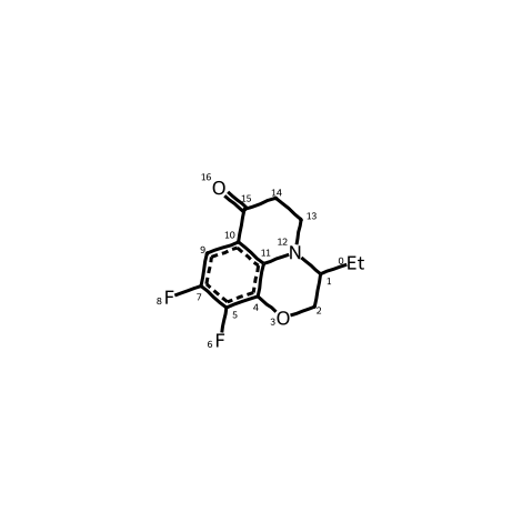 CCC1COc2c(F)c(F)cc3c2N1CCC3=O